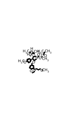 COCCCN1CCOc2ccc(CO[C@H]3CN(C(=O)OC(C)OC(=O)C(C)C)[C@@H](CC(C)(C)NC(C)=O)C[C@@H]3c3ccc(OC)cc3)cc21